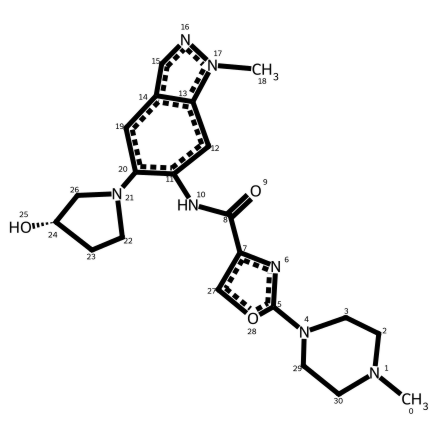 CN1CCN(c2nc(C(=O)Nc3cc4c(cnn4C)cc3N3CC[C@H](O)C3)co2)CC1